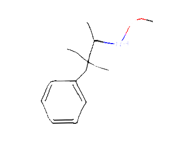 CONC(C)C(C)(C)c1ccccc1